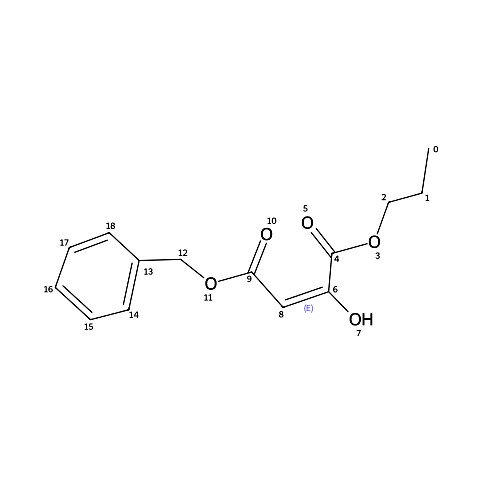 CCCOC(=O)/C(O)=C\C(=O)OCc1ccccc1